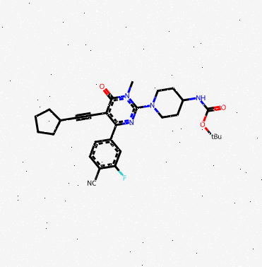 Cn1c(N2CCC(NC(=O)OC(C)(C)C)CC2)nc(-c2ccc(C#N)c(F)c2)c(C#CC2CCCC2)c1=O